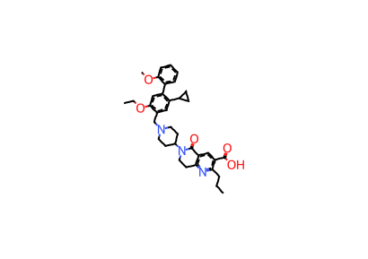 CCCc1nc2c(cc1C(=O)O)C(=O)N(C1CCN(Cc3cc(C4CC4)c(-c4ccccc4OC)cc3OCC)CC1)CC2